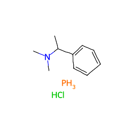 CC(c1ccccc1)N(C)C.Cl.P